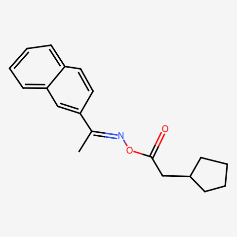 C/C(=N\OC(=O)CC1CCCC1)c1ccc2ccccc2c1